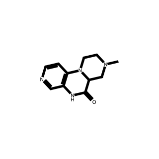 CN1CCN2c3ccncc3NC(=O)C2C1